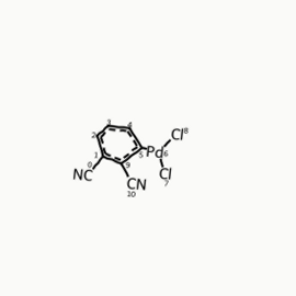 N#Cc1ccc[c]([Pd]([Cl])[Cl])c1C#N